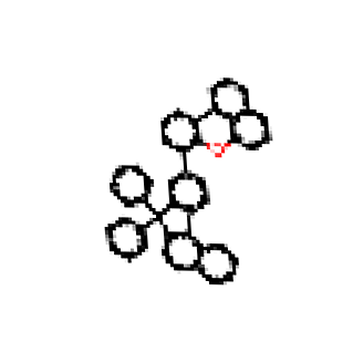 c1ccc(C2(c3ccccc3)c3cc(-c4cccc5c4Oc4cccc6cccc-5c46)ccc3-c3c2ccc2ccccc32)cc1